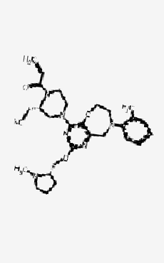 C=CC(=O)N1CCN(c2nc(OC[C@@H]3CCCN3C)nc3c2CCCN(c2ccccc2C(F)(F)F)C3)C[C@@H]1CC#N